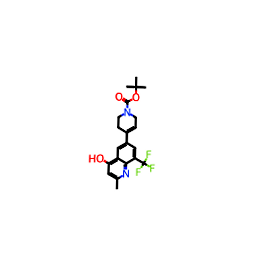 Cc1cc(O)c2cc(C3=CCN(C(=O)OC(C)(C)C)CC3)cc(C(F)(F)F)c2n1